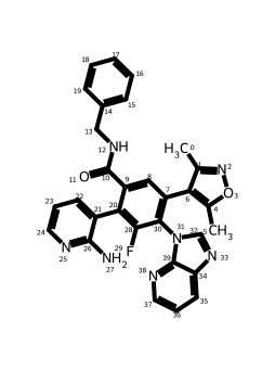 Cc1noc(C)c1-c1cc(C(=O)NCc2ccccc2)c(-c2cccnc2N)c(F)c1-n1cnc2cccnc21